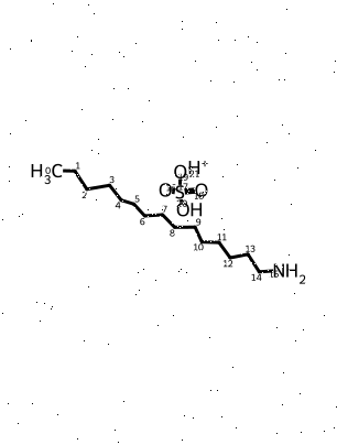 CCCCCCCCCCCCCCCN.O=S(=O)([O-])O.[H+]